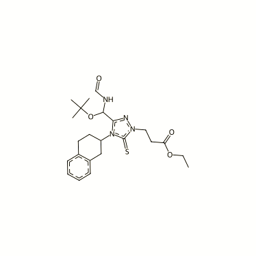 CCOC(=O)CCn1nc(C(NC=O)OC(C)(C)C)n(C2CCc3ccccc3C2)c1=S